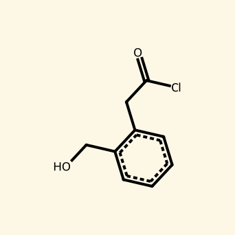 O=C(Cl)Cc1ccccc1CO